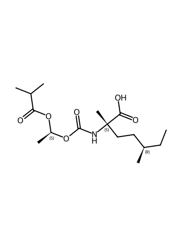 CC[C@@H](C)CC[C@](C)(NC(=O)O[C@@H](C)OC(=O)C(C)C)C(=O)O